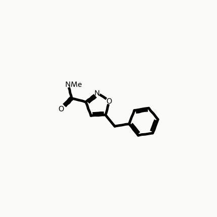 CNC(=O)c1cc(Cc2ccccc2)on1